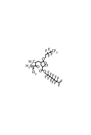 CCC(CC(CC(C)C(=O)N(C)C)C(=O)OCCC(F)(F)C(F)(F)C(F)(F)F)C(=O)OCC(F)(F)C(F)(F)C(F)(F)C(F)(F)C(F)(F)C(F)F